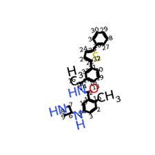 Cc1ccc(NC2CNC2)cc1C(=O)NC(C)c1cccc(-c2ccc(-c3ccccc3)s2)c1